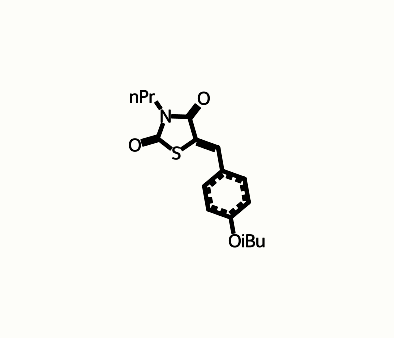 CCCN1C(=O)S/C(=C\c2ccc(OCC(C)C)cc2)C1=O